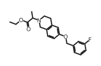 CCOC(=O)C(C)N1CCc2cc(OCc3cccc(F)c3)ccc2C1